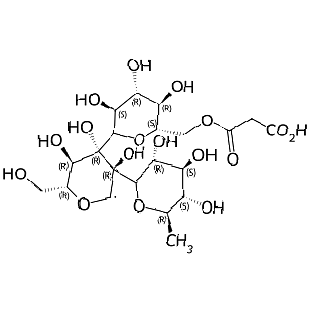 C[C@H]1OC([C@]2(O)[CH]O[C@H](CO)[C@@H](O)[C@@]2(O)C2O[C@@H](COC(=O)CC(=O)O)[C@H](O)[C@@H](O)[C@@H]2O)[C@H](O)[C@@H](O)[C@@H]1O